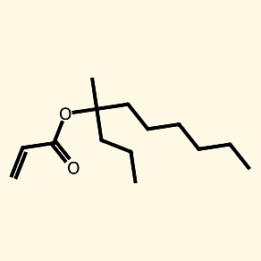 C=CC(=O)OC(C)(CCC)CCCCCC